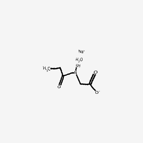 CCC(=O)N(S)CC(=O)[O-].O.[Na+]